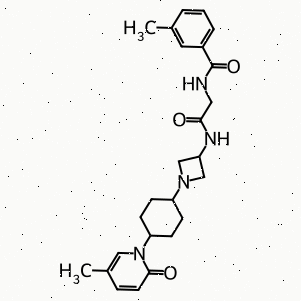 Cc1cccc(C(=O)NCC(=O)NC2CN(C3CCC(n4cc(C)ccc4=O)CC3)C2)c1